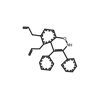 C=CCc1ccc2c(c1CC=C)C(c1ccccc1)=C(c1ccccc1)NO2